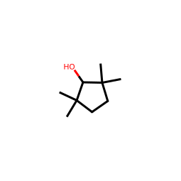 CC1(C)CCC(C)(C)C1O